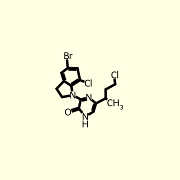 CC(CCCl)c1c[nH]c(=O)c(N2CCc3cc(Br)cc(Cl)c32)n1